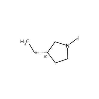 CC[C@H]1CCN(I)C1